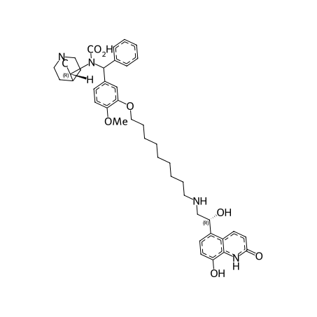 COc1ccc(C(c2ccccc2)N(C(=O)O)[C@H]2CN3CCC2CC3)cc1OCCCCCCCCCNC[C@H](O)c1ccc(O)c2[nH]c(=O)ccc12